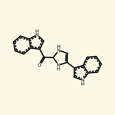 O=C(c1c[nH]c2ccccc12)C1NC=C(c2c[nH]c3ccccc23)N1